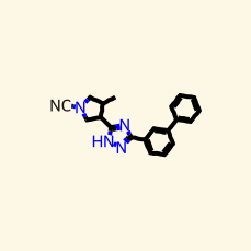 CC1CN(C#N)CC1c1nc(-c2cccc(-c3ccccc3)c2)n[nH]1